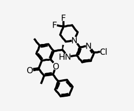 Cc1cc([C@@H](C)Nc2ccc(Cl)nc2N2CCC(F)(F)CC2)c2oc(-c3ccccc3)c(C)c(=O)c2c1